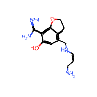 N=C(N)c1c(O)cc(CN/C=C\CN)c2c1OCC2